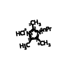 CCCn1c(C)nc(C)c1C.Cl